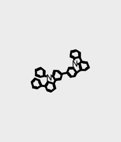 c1ccc(-c2cccc3c4cc(-c5ccc6c7cccc8c9ccccc9n(c6c5)c87)ccc4n(-c4ccccc4)c23)cc1